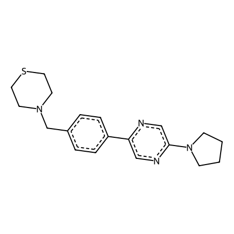 c1cc(-c2cnc(N3CCCC3)cn2)ccc1CN1CCSCC1